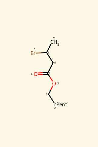 CCCCCCOC(=O)CC(C)Br